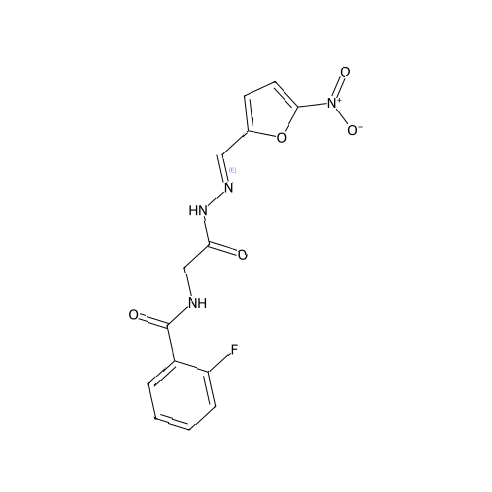 O=C(CNC(=O)c1ccccc1F)N/N=C/c1ccc([N+](=O)[O-])o1